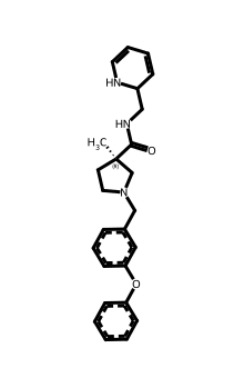 C[C@@]1(C(=O)NCC2C=CC=CN2)CCN(Cc2cccc(Oc3ccccc3)c2)C1